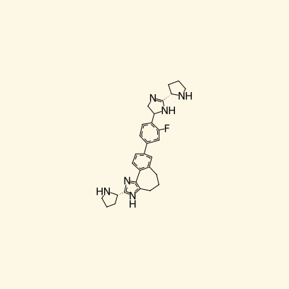 Fc1cc(-c2ccc3c(c2)CCCc2[nH]c([C@@H]4CCCN4)nc2-3)ccc1C1CN=C([C@@H]2CCCN2)N1